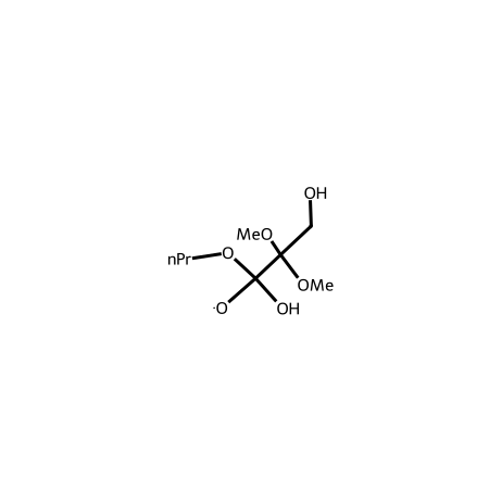 CCCOC([O])(O)C(CO)(OC)OC